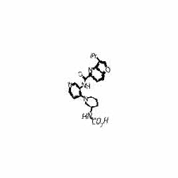 CC(C)c1coc2ccc(C(=O)Nc3cnccc3N3CCCC(NC(=O)O)C3)nc12